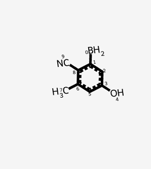 Bc1cc(O)cc(C)c1C#N